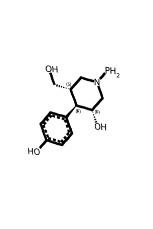 OC[C@@H]1CN(P)C[C@H](O)[C@H]1c1ccc(O)cc1